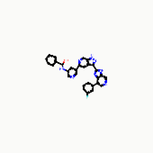 OC(Nc1cncc(-c2cc3c(-c4nc5c(-c6cccc(F)c6)cncc5[nH]4)n[nH]c3cn2)c1)c1ccccc1